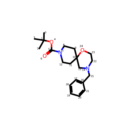 CC(C)(C)OC(=O)N1CCC2(CC1)CN(Cc1ccccc1)CCO2